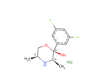 C[C@H]1CO[C@](O)(c2cc(F)cc(F)c2)[C@@H](C)N1.Cl